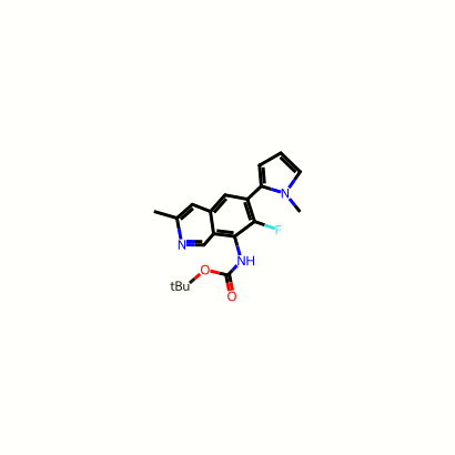 Cc1cc2cc(-c3cccn3C)c(F)c(NC(=O)OC(C)(C)C)c2cn1